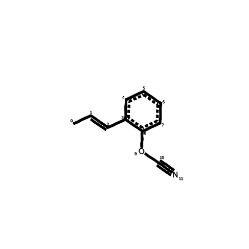 CC=Cc1ccccc1OC#N